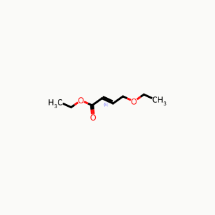 CCOC/C=C/C(=O)OCC